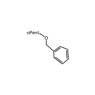 CCCC[CH]OCc1ccccc1